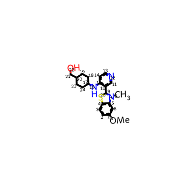 COc1ccc2c(c1)N(C)C(c1cnccc1NC1CCC(CO)CC1)S2